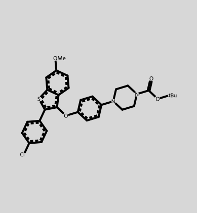 COc1ccc2c(Oc3ccc(N4CCN(C(=O)OC(C)(C)C)CC4)cc3)c(-c3ccc(Cl)cc3)sc2c1